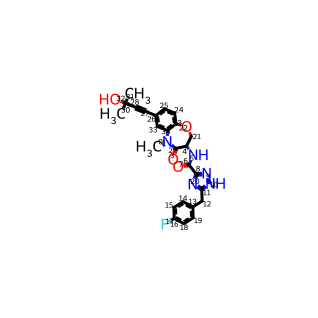 CN1C(=O)C(NC(=O)c2n[nH]c(Cc3ccc(F)cc3)n2)COc2ccc(C#CC(C)(C)O)cc21